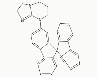 c1ccc2c(c1)-c1ccccc1C21c2ccccc2-c2ccc(N3CCCN4CCN=C43)cc21